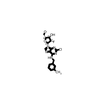 Cc1cccc(CNc2nc(Cl)nc3c2ncn3[C@@H]2O[C@H](C[O])[C@@H](O)[C@@H]2F)c1